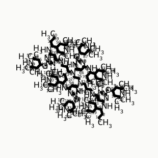 CCCC(NC1=NN(OC2CC(C)(C)NC(C)(C)C2)NC(NCCCN(CCN(CCCNC2=CC(NC(CCC)C3CC(C)(C)NC(C)(C)C3)=NN(OC3CC(C)(C)NC(C)(C)C3)N2)C2=CC(NC(CCC)C3CC(C)(C)NC(C)(C)C3)=NN(OC3CC(C)(C)NC(C)(C)C3)N2)C2=CC(NC(CCC)C3CC(C)(C)NC(C)(C)C3)=NN(OC3CC(C)(C)NC(C)(C)C3)N2)=C1)C1CC(C)(C)NC(C)(C)C1